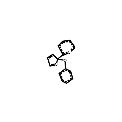 C1=CC(Oc2ccccc2)(c2ccccc2)N=C1